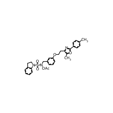 CC(=O)ON(Cc1cccc(OCCc2nc(-c3ccc(C)cc3)oc2C)c1)S(=O)(=O)N1CCc2ccccc21